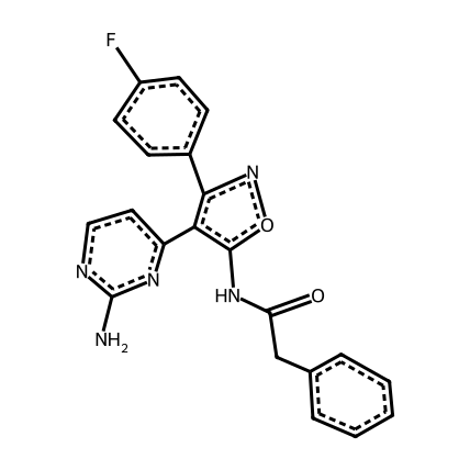 Nc1nccc(-c2c(-c3ccc(F)cc3)noc2NC(=O)Cc2ccccc2)n1